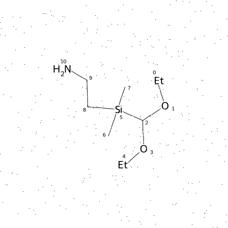 CCOC(OCC)[Si](C)(C)CCN